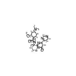 COc1cc(N(C)C)ccc1C(=O)NC1(C)CCCn2c1nc(-c1ccncn1)cc2=O